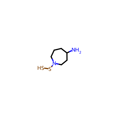 NC1CCCN(SS)CC1